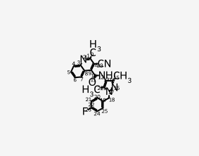 Cc1nc2ccccc2c(C(=O)Nc2c(C)nn(Cc3ccc(F)cc3)c2C)c1C#N